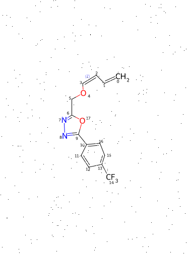 C=C/C=C\OCc1nnc(-c2ccc(C(F)(F)F)cc2)o1